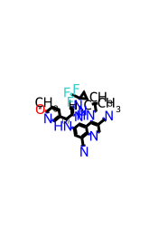 COc1ccc([C@H](Nc2cc(C#N)c3ncc(C#N)c(NCC(C)(C)C)c3c2)c2cn(C3(C(F)(F)F)CC3)nn2)cn1